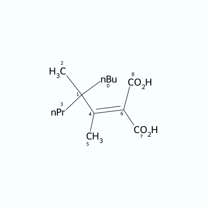 CCCCC(C)(CCC)C(C)=C(C(=O)O)C(=O)O